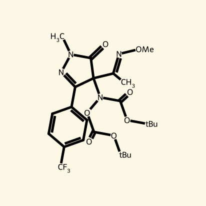 CON=C(C)C1(N(OC(=O)OC(C)(C)C)C(=O)OC(C)(C)C)C(=O)N(C)N=C1c1ccc(C(F)(F)F)cc1